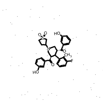 Cc1c(F)cccc1C1[C@@H](C(=O)c2cccc(O)c2)CN(C2CCS(=O)(=O)C2)C[C@@H]1C(=O)c1cccc(O)c1